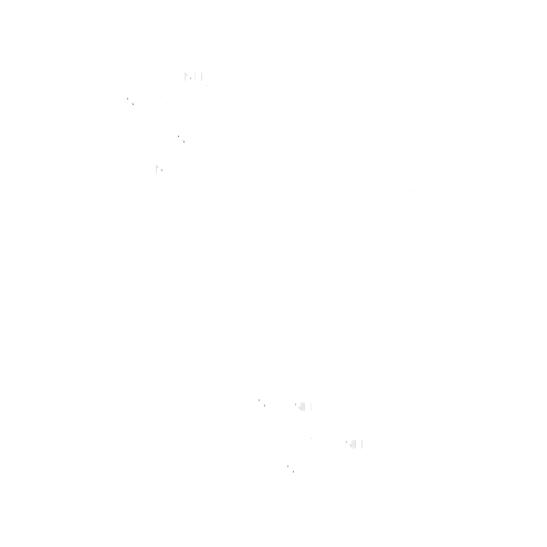 C/C(CCC1=C(CC/C(C)=N\NC(=N)N)C(=O)c2ccccc2C1=O)=N/NC(=N)N.Cl.Cl